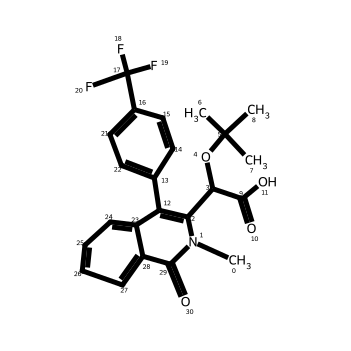 Cn1c(C(OC(C)(C)C)C(=O)O)c(-c2ccc(C(F)(F)F)cc2)c2ccccc2c1=O